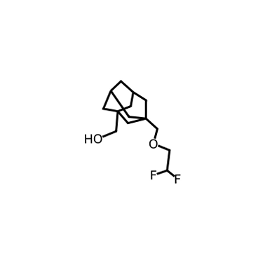 OCC12CC3CC(C1)CC(COCC(F)F)(C3)C2